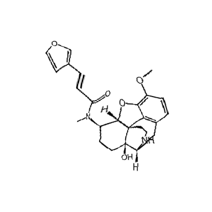 COc1ccc2c3c1O[C@H]1[C@H](N(C)C(=O)/C=C/c4ccoc4)CC[C@@]4(O)[C@@H](C2)NCC[C@]314